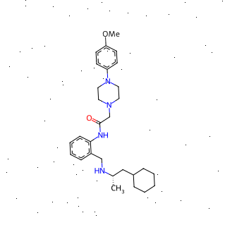 COc1ccc(N2CCN(CC(=O)Nc3ccccc3CN[C@@H](C)CC3CCCCC3)CC2)cc1